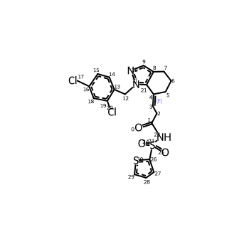 O=C(C/C=C1\CCCc2cnn(Cc3ccc(Cl)cc3Cl)c21)NS(=O)(=O)c1cccs1